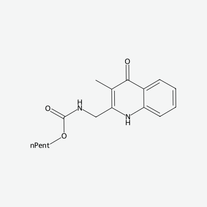 CCCCCOC(=O)NCc1[nH]c2ccccc2c(=O)c1C